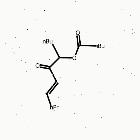 CCCC=CC(=O)C(CCCC)OC(=O)C(C)CC